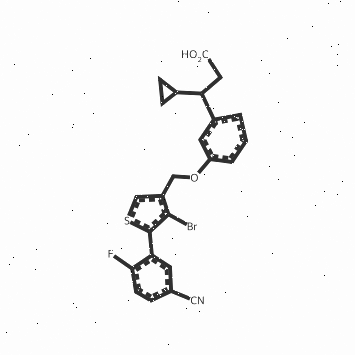 N#Cc1ccc(F)c(-c2scc(COc3cccc(C(CC(=O)O)C4CC4)c3)c2Br)c1